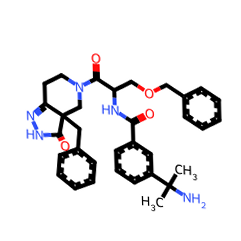 CC(C)(N)c1cccc(C(=O)NC(COCc2ccccc2)C(=O)N2CCC3=NNC(=O)C3(Cc3ccccc3)C2)c1